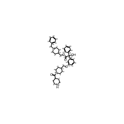 O=C(C1CCNCC1)N1CCC(COc2cccc(C(O)(C(=O)OCC3CCN(Cc4ccccc4)CC3)c3ccccc3)c2)CC1